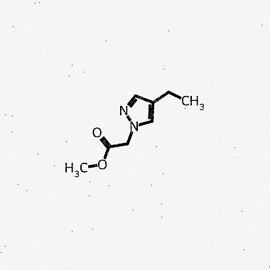 CCc1cnn(CC(=O)OC)c1